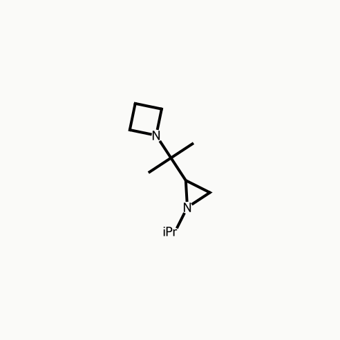 CC(C)N1CC1C(C)(C)N1CCC1